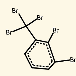 Brc1cccc(C(Br)(Br)Br)c1Br